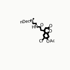 CCCCCCCCCCN(C)CCNC(=O)Cc1cc(=O)oc2cc(OC(C)=O)c(Cl)cc12